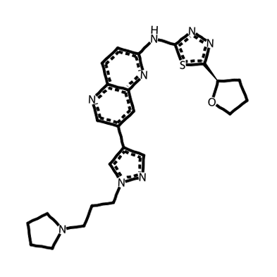 c1nc2ccc(Nc3nnc([C@H]4CCCO4)s3)nc2cc1-c1cnn(CCCN2CCCC2)c1